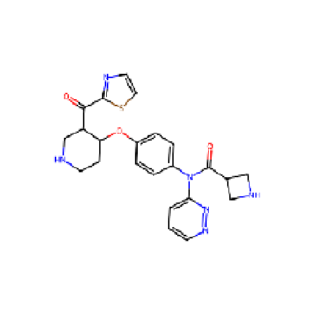 O=C(c1nccs1)C1CNCCC1Oc1ccc(N(C(=O)C2CNC2)c2cccnn2)cc1